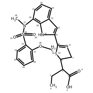 CCC(C(=O)O)C1CN=C(c2cc3cccc(N(C)S(=O)(=O)c4ccccc4OC)c3[nH]2)S1